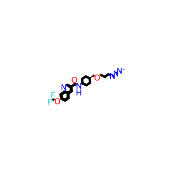 [N-]=[N+]=NCCCOC[C@H]1CC[C@H](NC(=O)c2cnc3cc(OC(F)F)ccc3c2)CC1